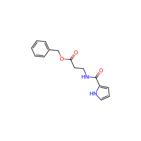 O=C(CCNC(=O)c1ccc[nH]1)OCc1ccccc1